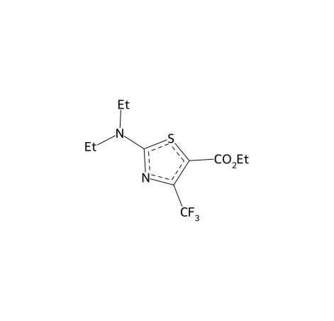 CCOC(=O)c1sc(N(CC)CC)nc1C(F)(F)F